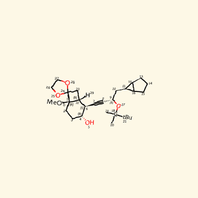 CO[C@]12CC[C@@H](O)[C@H](C#C[C@H](CC3C4CCCC43)O[Si](C)(C)C(C)(C)C)[C@H]1CC21OCCO1